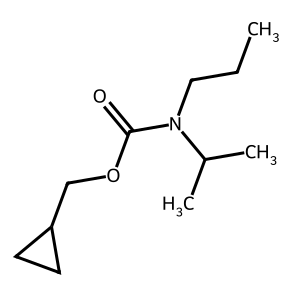 CCCN(C(=O)OCC1CC1)C(C)C